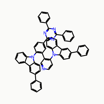 c1ccc(-c2ccc3c(c2)c2ccccc2n3-c2ccncc2-c2cc(-c3nc(-c4ccccc4)nc(-c4ccccc4)n3)ccc2-n2c3ccccc3c3cc(-c4ccccc4)ccc32)cc1